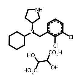 Clc1cccc(CN(C2CCCCC2)[C@H]2CCNC2)c1Cl.O=C(O)C(O)C(O)C(=O)O